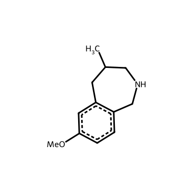 COc1ccc2c(c1)CC(C)CNC2